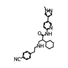 Cn1cc(-c2ccc(NC(=O)C(CNCCc3ccc(C#N)cc3)C3CCCCC3)nc2)cn1